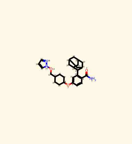 NC(=O)c1ccc(OC2CCC(COn3cccn3)CC2)cc1C1C2CC3CC(C2)CC1C3